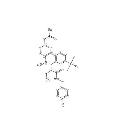 CCN(Cc1cc(C(F)(F)F)ccc1-c1cc(CC(=O)O)ccc1OC)C(=O)NCc1ccc(F)cc1